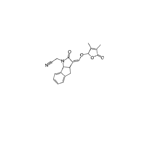 CC1=C(C)C(O/C=C2\C(=O)N(CC#N)C3c4ccccc4CC23)OC1=O